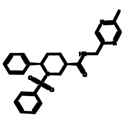 Cc1cnc(CNC(=O)[C@@H]2CC[C@H](c3ccccc3)N(S(=O)(=O)c3ccccc3)C2)cn1